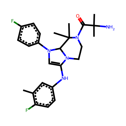 Cc1cc(NC2=CN(c3ccc(F)cc3)C3N2CCN(C(=O)C(C)(C)N)C3(C)C)ccc1F